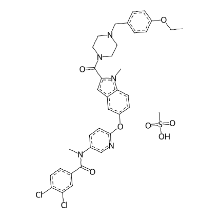 CCOc1ccc(CN2CCN(C(=O)c3cc4cc(Oc5ccc(N(C)C(=O)c6ccc(Cl)c(Cl)c6)cn5)ccc4n3C)CC2)cc1.CS(=O)(=O)O